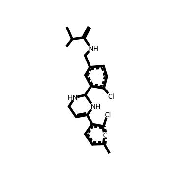 C=C(NCc1ccc(Cl)c(C2NCC=C(c3ccc(C)cc3Cl)N2)c1)C(C)C